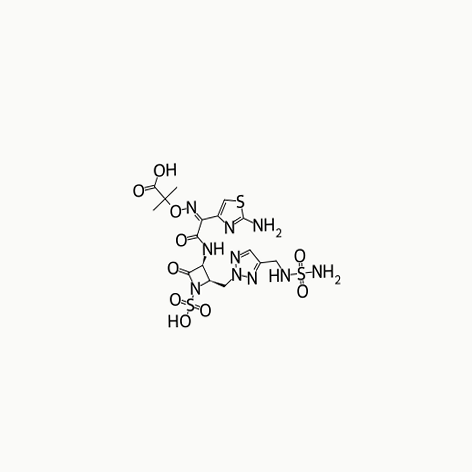 CC(C)(O/N=C(\C(=O)N[C@@H]1C(=O)N(S(=O)(=O)O)[C@@H]1Cn1ncc(CNS(N)(=O)=O)n1)c1csc(N)n1)C(=O)O